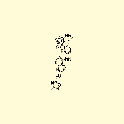 Cc1noc(COc2cnc3c(Nc4ccc(F)c([C@@]5(CF)N=C(N)S[C@@]6(CF)C[C@H]65)c4)nccc3n2)n1